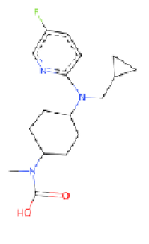 CN(C(=O)O)C1CCC(N(CC2CC2)c2ccc(F)cn2)CC1